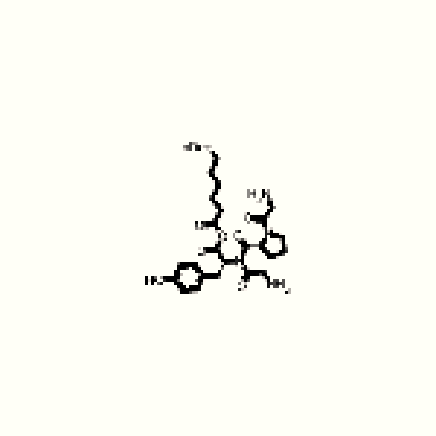 CCCCCCCCCCCCCCCC(=O)OC(=O)[C@H](Cc1ccc(O)cc1)N(C(=O)CN)C(=O)[C@@H]1CCCN1C(=O)CN